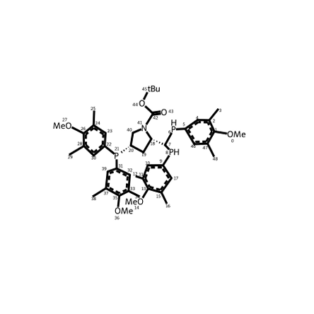 COc1c(C)cc(PC(Pc2cc(C)c(OC)c(C)c2)[C@@H]2C[C@H](P(c3cc(C)c(OC)c(C)c3)c3cc(C)c(OC)c(C)c3)CN2C(=O)OC(C)(C)C)cc1C